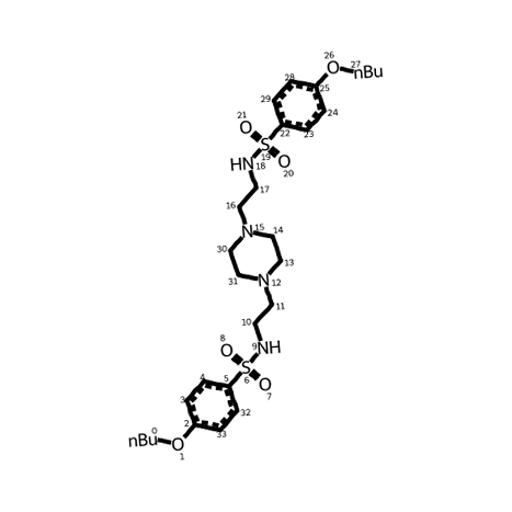 CCCCOc1ccc(S(=O)(=O)NCCN2CCN(CCNS(=O)(=O)c3ccc(OCCCC)cc3)CC2)cc1